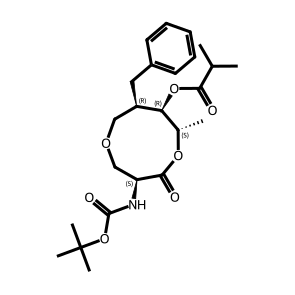 CC(C)C(=O)O[C@@H]1[C@H](Cc2ccccc2)COC[C@H](NC(=O)OC(C)(C)C)C(=O)O[C@H]1C